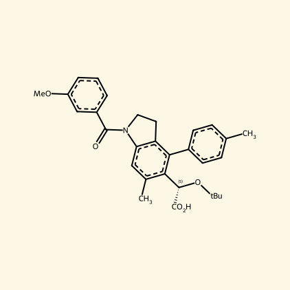 COc1cccc(C(=O)N2CCc3c2cc(C)c([C@H](OC(C)(C)C)C(=O)O)c3-c2ccc(C)cc2)c1